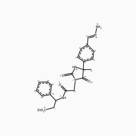 CCOC(=O)CC(NC(=O)CN1C(=O)NC(C)(c2ccc(C=NN)cc2)C1=O)c1ccccc1